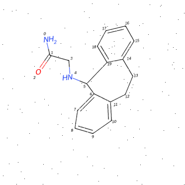 NC(=O)CNC1c2ccccc2CCc2ccccc21